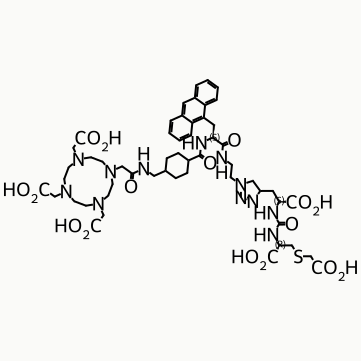 O=C(O)CSC[C@H](NC(=O)N[C@@H](CC1CN(CCNC(=O)[C@H](Cc2c3ccccc3cc3ccccc23)NC(=O)C2CCC(CNC(=O)CN3CCN(CC(=O)O)CCN(CC(=O)O)CCN(CC(=O)O)CC3)CC2)N=N1)C(=O)O)C(=O)O